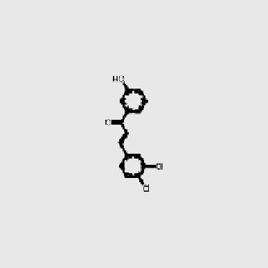 O=C(/C=C/c1ccc(Cl)c(Cl)c1)c1cccc(O)c1